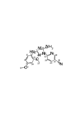 COc1ccc(Nc2nc(N)n(-c3ccc(C#N)cn3)n2)c(OC)c1